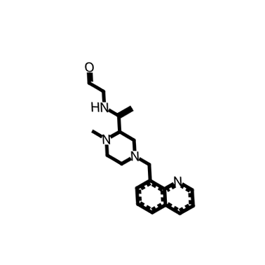 C=C(NCC=O)C1CN(Cc2cccc3cccnc23)CCN1C